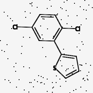 Clc1c[c]c(Cl)c(-c2cccs2)c1